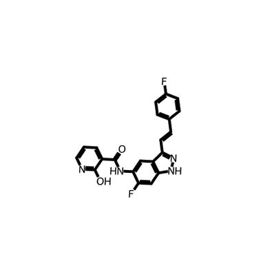 O=C(Nc1cc2c(/C=C/c3ccc(F)cc3)n[nH]c2cc1F)c1cccnc1O